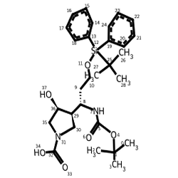 CC(C)(C)OC(=O)N[C@@H](CCO[Si](c1ccccc1)(c1ccccc1)C(C)(C)C)[C@H]1CN(C(=O)O)C[C@H]1O